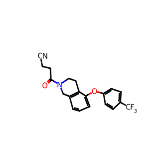 N#CCCC(=O)N1CCc2c(cccc2Oc2ccc(C(F)(F)F)cc2)C1